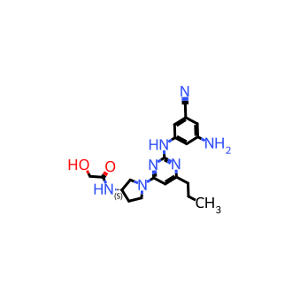 CCCc1cc(N2CC[C@H](NC(=O)CO)C2)nc(Nc2cc(N)cc(C#N)c2)n1